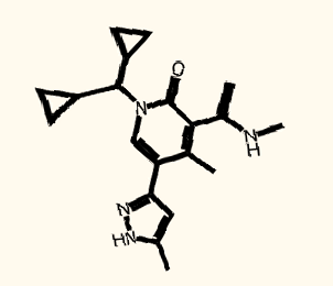 C=C(NC)c1c(C)c(-c2cc(C)[nH]n2)cn(C(C2CC2)C2CC2)c1=O